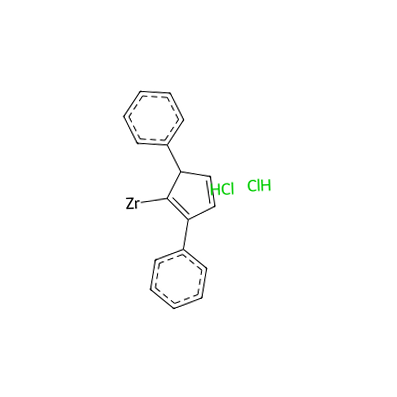 Cl.Cl.[Zr][C]1=C(c2ccccc2)C=CC1c1ccccc1